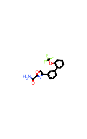 NC(=O)c1nc(-c2cccc(-c3ccccc3OC(F)(F)F)c2)co1